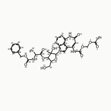 CC(C)C(=O)OCOC(=O)NC1=CC(=O)Nc2ncnc3c2c1cn3C1OC(CO)C(OC(=O)C(NC(=O)OCc2ccccc2)C(C)C)C1(C)O